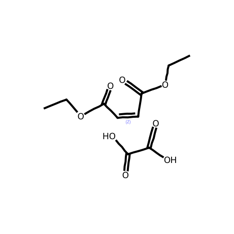 CCOC(=O)/C=C\C(=O)OCC.O=C(O)C(=O)O